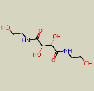 O=C(NCCO)[C@@H](O)[C@H](O)C(=O)NCCO